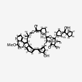 CCn1c(-c2cccnc2[C@H](C)OC)c2c3cc(ccc31)-c1cc(O)cc(c1)C[C@H](NC(=O)C(C(C)C)N(C)C(=O)[C@H]1CCN(C(=O)[C@]3(C)CCCN3)C1)C(=O)N1CCC[C@H](N1)C(=O)OCC(C)(C)C2